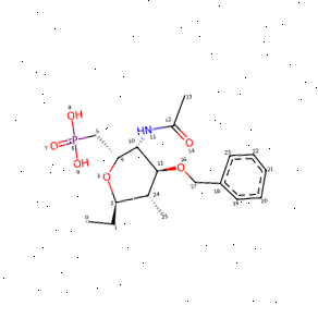 CC[C@H]1O[C@H](CP(=O)(O)O)[C@H](NC(C)=O)[C@@H](OCc2ccccc2)[C@@H]1C